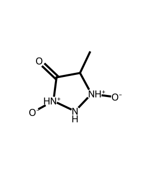 CC1C(=O)[NH+]([O-])N[NH+]1[O-]